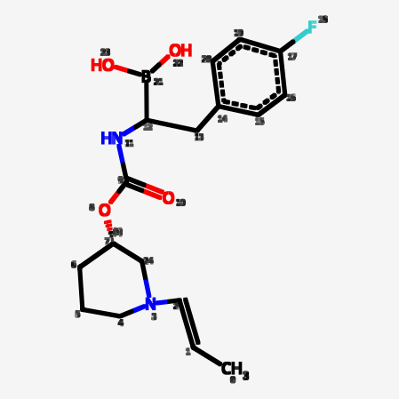 CC=CN1CCC[C@H](OC(=O)NC(Cc2ccc(F)cc2)B(O)O)C1